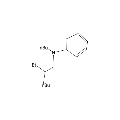 CCCCC(CC)CN(CCCC)c1ccccc1